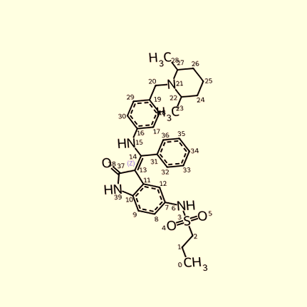 CCCS(=O)(=O)Nc1ccc2c(c1)/C(=C(/Nc1ccc(CN3C(C)CCCC3C)cc1)c1ccccc1)C(=O)N2